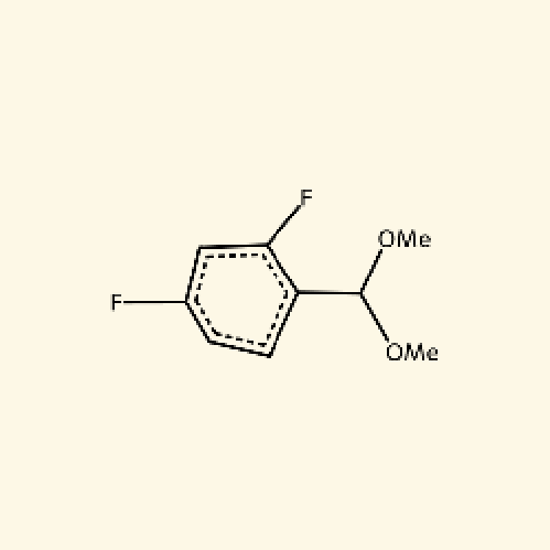 COC(OC)c1ccc(F)cc1F